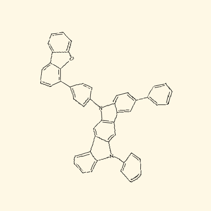 c1ccc(-c2ccc3c(c2)c2cc4c(cc2n3-c2ccc(-c3cccc5c3oc3ccccc35)cc2)c2ccccc2n4-c2ccccc2)cc1